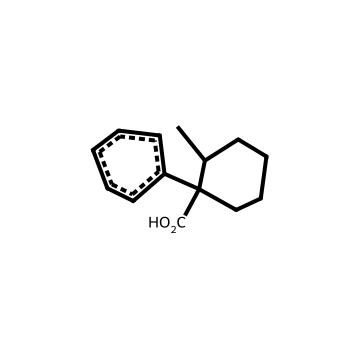 CC1CCCCC1(C(=O)O)c1ccccc1